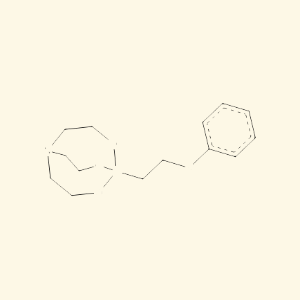 c1ccc(SCC[Si]23OCCN(CCO2)CCO3)cc1